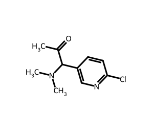 CC(=O)C(c1ccc(Cl)nc1)N(C)C